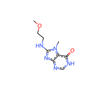 COCCNc1nc2nc[nH]c(=O)c2n1C